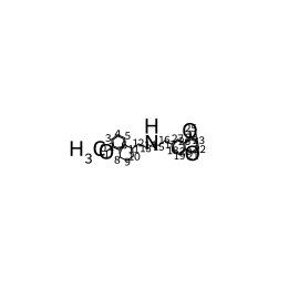 COc1cccc2c1CCCC2CCNCCc1ccc2occc(=O)c2c1